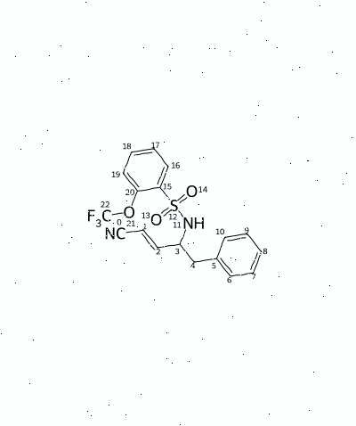 N#CC=CC(Cc1ccccc1)NS(=O)(=O)c1ccccc1OC(F)(F)F